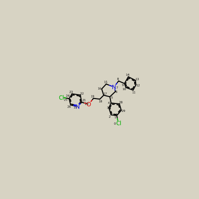 Clc1ccc(C2CN(Cc3ccccc3)CCC2CCOc2ccc(Cl)cn2)cc1